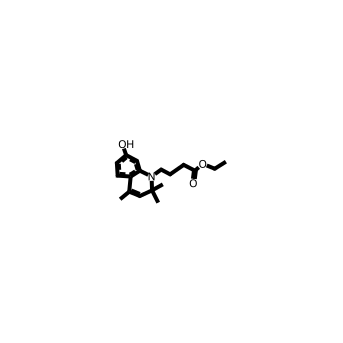 CCOC(=O)CCCN1c2cc(O)ccc2C(C)=CC1(C)C